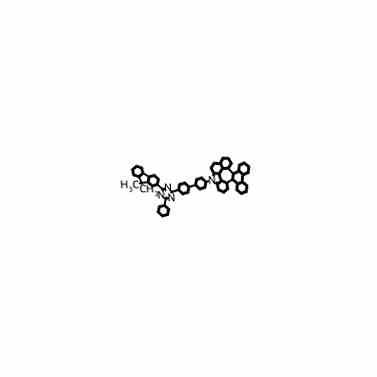 CC1(C)c2ccccc2-c2ccc(-c3nc(-c4ccccc4)nc(-c4ccc(-c5ccc(-n6c7cccc8c7c7c9c(cccc9ccc76)-c6c-8c7ccccc7c7ccccc67)cc5)cc4)n3)cc21